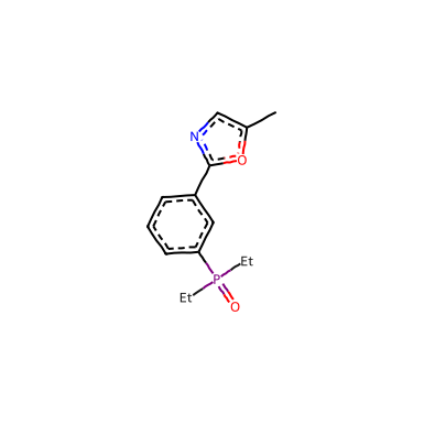 CCP(=O)(CC)c1cccc(-c2ncc(C)o2)c1